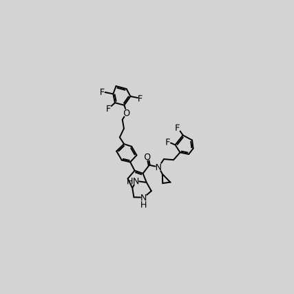 O=C(C1=C(c2ccc(CCCOc3c(F)ccc(F)c3F)cc2)CC2CNCC1N2)N(CCc1cccc(F)c1F)C1CC1